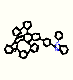 CC12c3cccc(c3)-c3ccccc3-c3c4cc(-c5ccc(-c6nc7ccccc7n6-c6ccccc6)cc5)ccc4c(-c4ccccc4-c4ccccc4)c4cc(c1cc34)-c1ccccc12